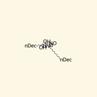 CCCCCCCCCCCCCCCCCCCC(=O)NC(CN=O)C(O)/C=C/C(O)CCCCCCCCCCCC